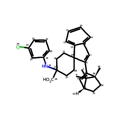 CC1(C)[C@H]2C=C(C3=Cc4ccccc4C34CCC(Nc3cccc(Cl)c3)(C(=O)O)CC4)[C@]1(C)CC2